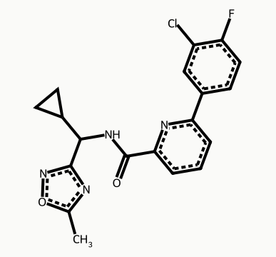 Cc1nc(C(NC(=O)c2cccc(-c3ccc(F)c(Cl)c3)n2)C2CC2)no1